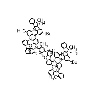 Cc1cc2c3c(c1)-n1c4c(c5cc(C(C)(C)C)cc(c51)B3c1ccc(N(c3ccccc3C)c3ccc(-c5cccc6c5oc5cccc(N7c8cc(N(c9ccccc9C)c9ccccc9C)ccc8B8c9c7cc(C)cc9-n7c9c(c%10cc(C(C)(C)C)cc8c%107)C(C)(C)c7ccccc7-9)c56)cc3C)cc1N2c1cccc2c1oc1ccccc12)C(C)(C)c1ccccc1-4